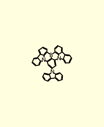 c1ccc2c(c1)c1ccccc1n2-c1cc2c3c(c1)-n1c4ccccc4c4cccc(c41)B3c1cccc3c4ccccc4n-2c13